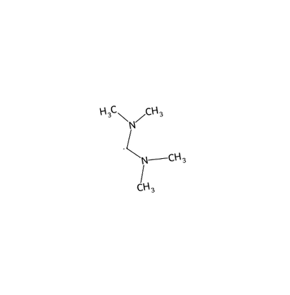 CN(C)[CH]N(C)C